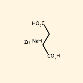 O=C(O)CCC(=O)O.[NaH].[Zn]